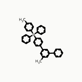 Cc1ccc([Si](c2ccccc2)(c2ccccc2)c2ccc(-c3cc(C)cc(-c4ccccc4)c3)cc2)cc1